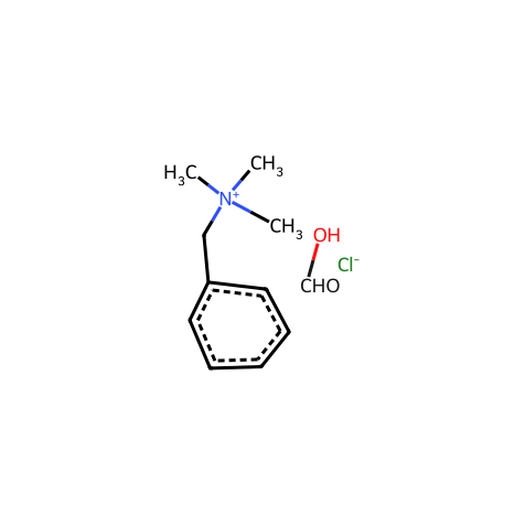 C[N+](C)(C)Cc1ccccc1.O=CO.[Cl-]